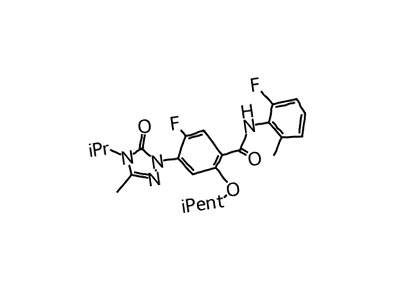 CCCC(C)Oc1cc(-n2nc(C)n(C(C)C)c2=O)c(F)cc1C(=O)Nc1c(C)cccc1F